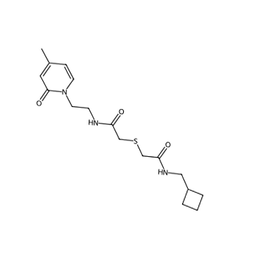 Cc1ccn(CCNC(=O)CSCC(=O)NCC2CCC2)c(=O)c1